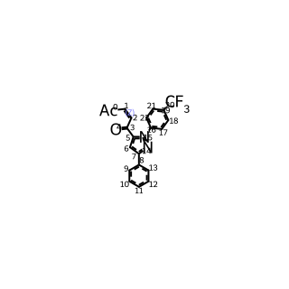 CC(=O)/C=C\C(=O)c1cc(-c2ccccc2)nn1-c1ccc(C(F)(F)F)cc1